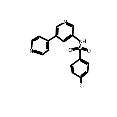 O=S(=O)(Nc1cncc(-c2ccncc2)c1)c1ccc(Cl)cc1